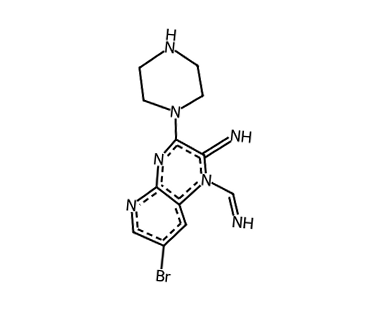 N=Cn1c(=N)c(N2CCNCC2)nc2ncc(Br)cc21